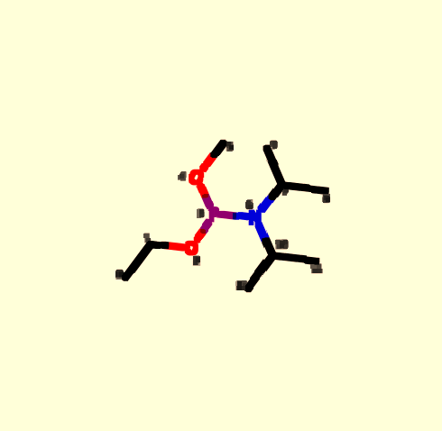 CCOP(OC)N(C(C)C)C(C)C